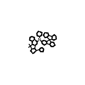 CC1(C)c2cccc(-c3ccccc3)c2-c2cc(N(c3ccccc3)c3ccc4c(c3)C3(c5ccccc5-c5ccccc53)c3ccccc3-4)c3ccccc3c21